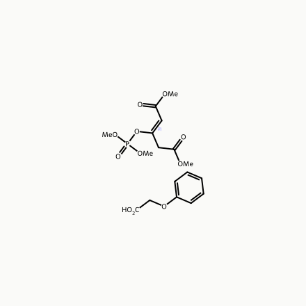 COC(=O)/C=C(/CC(=O)OC)OP(=O)(OC)OC.O=C(O)COc1ccccc1